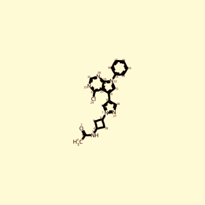 CC(=O)NC1CC(n2cc(-c3cn(-c4ccccc4)c4ncnc(Cl)c34)cn2)C1